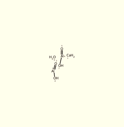 O.[CaH2].[O]=[Al][OH].[O]=[Al][OH]